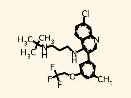 Cc1cc(OCC(F)(F)F)cc(-c2cnc3cc(Cl)ccc3c2NCCCNC(C)(C)C)c1